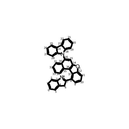 c1ccc2c(c1)CC(c1cccc3oc4cc(-n5c6ccccc6c6ccccc65)c5ccccc5c4c13)=N2